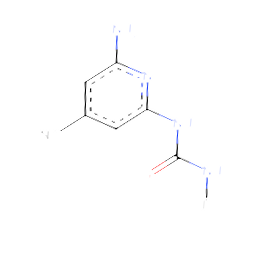 CCNC(=O)Nc1cc(C#N)cc(N)n1